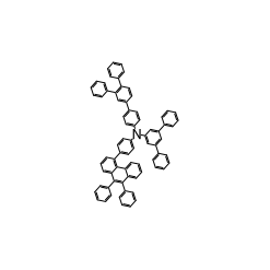 c1ccc(-c2cc(-c3ccccc3)cc(N(c3ccc(-c4ccc(-c5ccccc5)c(-c5ccccc5)c4)cc3)c3ccc(-c4cccc5c(-c6ccccc6)c(-c6ccccc6)c6ccccc6c45)cc3)c2)cc1